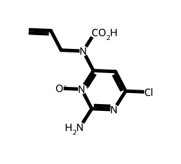 C=CCN(C(=O)O)c1cc(Cl)nc(N)[n+]1[O-]